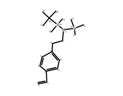 C=Cc1ccc(CCN([Si](C)(C)C)[Si](C)(C)C(C)(C)C)cc1